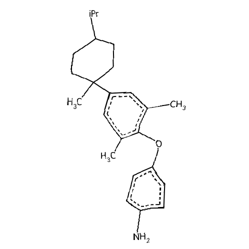 Cc1cc(C2(C)CCC(C(C)C)CC2)cc(C)c1Oc1ccc(N)cc1